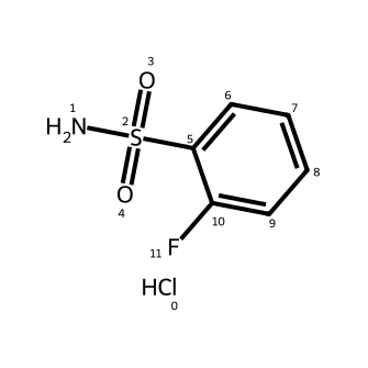 Cl.NS(=O)(=O)c1ccccc1F